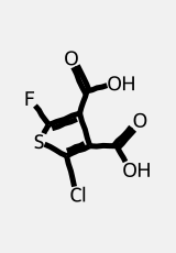 O=C(O)c1c(F)sc(Cl)c1C(=O)O